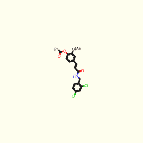 COc1cc(/C=C/C(=O)NCc2ccc(Cl)cc2Cl)ccc1OC(=O)C(C)C